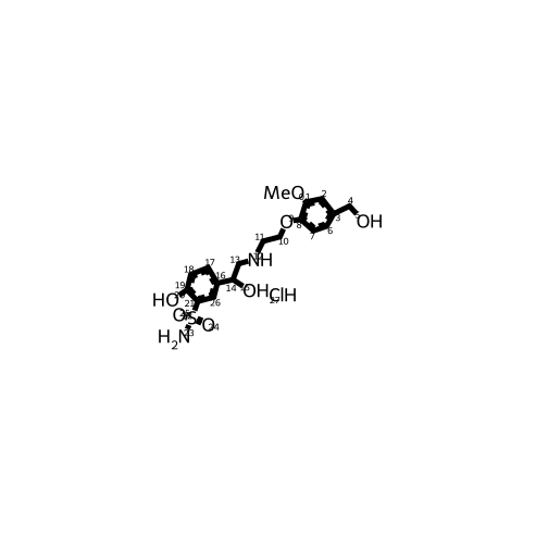 COc1cc(CO)ccc1OCCNCC(O)c1ccc(O)c(S(N)(=O)=O)c1.Cl